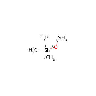 [3H][Si](C)(C)O[SiH3]